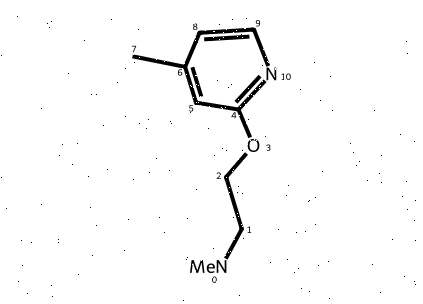 CNCCOc1cc(C)ccn1